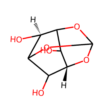 OC1C2OC3OC(C(O)[C@H]1O3)[C@H]2O